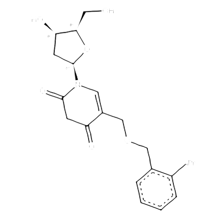 CC(C)c1ccccc1COCC1=CN([C@H]2C[C@@H](O)[C@@H](CO)O2)C(=O)CC1=O